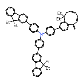 C=C1/C=C\C=C/CC(CC)(CC)c2cc(-c3ccc(N(c4ccc(-c5ccc6c(c5)C(CC)(CC)c5ccccc5-6)cc4)c4ccc(-c5ccc6c(c5)C(CC)(CC)c5ccccc5-6)cc4)cc3)ccc21